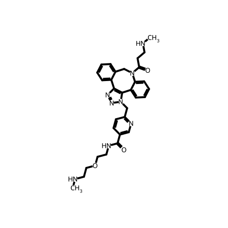 CNCCOCCNC(=O)c1ccc(Cn2nnc3c2-c2ccccc2N(C(=O)CCNC)Cc2ccccc2-3)nc1